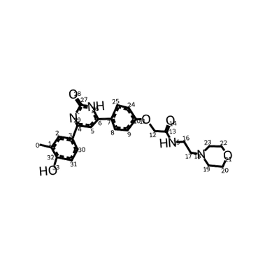 Cc1cc(-c2cc(-c3ccc(OCC(=O)NCCN4CCOCC4)cc3)[nH]c(=O)n2)ccc1O